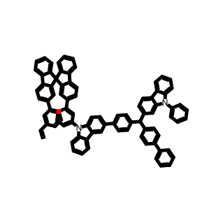 C=Cc1cccc(-c2ccc3c(c2)C2(c4ccccc4-3)c3ccccc3-c3ccc(-c4cccc(-n5c6ccccc6c6cc(-c7ccc(C(c8ccc(-c9ccccc9)cc8)c8ccc9c%10ccccc%10n(-c%10ccccc%10)c9c8)cc7)ccc65)c4)cc32)c1